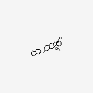 CC1CN2CCN(Cc3ccc4ccccc4c3)CC2CC1(C)c1cccc(O)c1